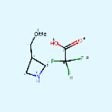 COCC1CNC1.O=C(O)C(F)(F)F